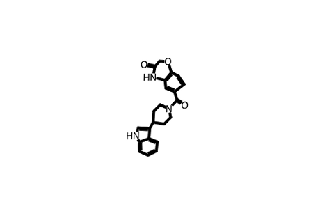 O=C1COc2ccc(C(=O)N3CCC(c4c[nH]c5ccccc45)CC3)cc2N1